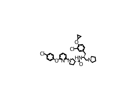 O=C(N[C@@H](Cc1ccc(OC2CC2)c(Cl)c1)CN1CCCC1)[C@@H]1CCN(c2cccc(Oc3ccc(Cl)cc3)n2)C1